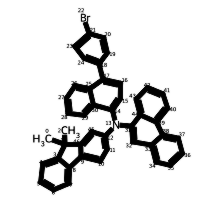 CC1(C)c2ccccc2-c2ccc(N(c3ccc(-c4ccc(Br)cc4)c4ccccc34)c3cc4ccccc4c4ccccc34)cc21